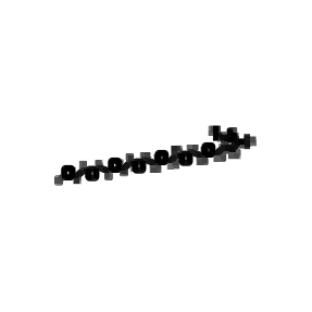 COCCOCCOCCOCCOCCOCCOCc1cc(I)sc1I